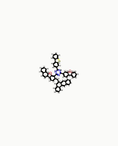 c1ccc2cc3c(cc2c1)c(Cc1ccc2c(oc4c5ccccc5ccc24)c1-c1nc(-c2ccc4c(c2)oc2ccccc24)nc(-c2ccc4c(c2)sc2ccccc24)n1)cc1ccccc13